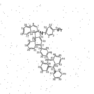 CC(C)c1ccc(-n2c3ccc4ccccc4c3c3c4ccccc4c(-c4ccc(-c5c6ccccc6c(-c6ccccc6)c6ccccc56)cc4)cc32)cc1